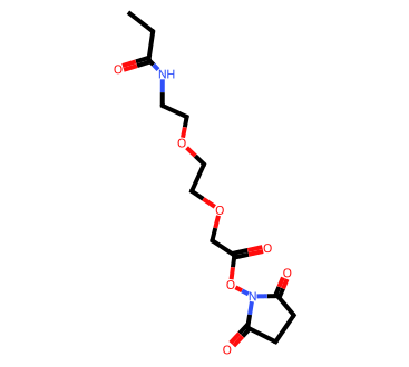 CCC(=O)NCCOCCOCC(=O)ON1C(=O)CCC1=O